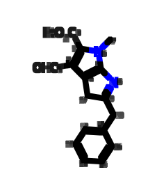 CCOC(=O)c1c(C=O)c2c(n1C)N=C(Cc1ccccc1)C2